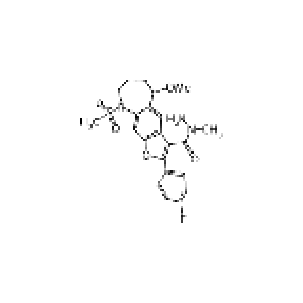 COC1CCCN(S(C)(=O)=O)c2cc3oc(-c4ccc(F)cc4)c(C(=O)N(C)N)c3cc21